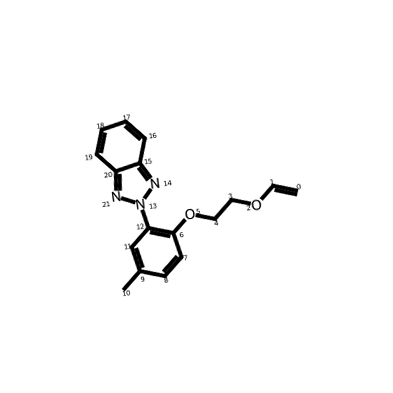 C=COCCOc1ccc(C)cc1-n1nc2ccccc2n1